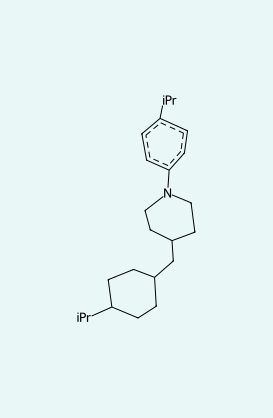 CC(C)c1ccc(N2CCC(CC3CCC(C(C)C)CC3)CC2)cc1